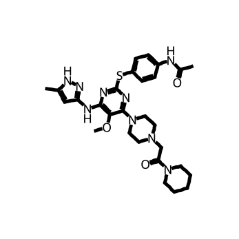 COc1c(Nc2cc(C)[nH]n2)nc(Sc2ccc(NC(C)=O)cc2)nc1N1CCN(CC(=O)N2CCCCC2)CC1